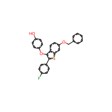 Oc1ccc(Oc2c(-c3ccc(F)cc3)sc3cc(OCc4ccccc4)ccc23)cc1